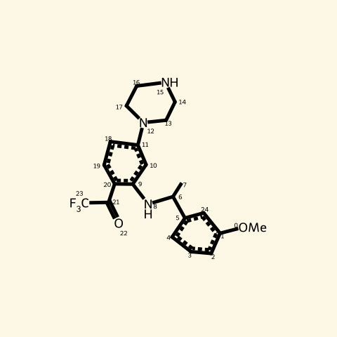 COc1cccc(C(C)Nc2cc(N3CCNCC3)ccc2C(=O)C(F)(F)F)c1